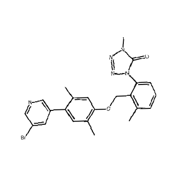 Cc1cc(-c2cncc(Br)c2)c(C)cc1OCc1c(C)cccc1-n1nnn(C)c1=O